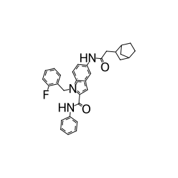 O=C(CC1CC2CCC1C2)Nc1ccc2c(c1)cc(C(=O)Nc1ccccc1)n2Cc1ccccc1F